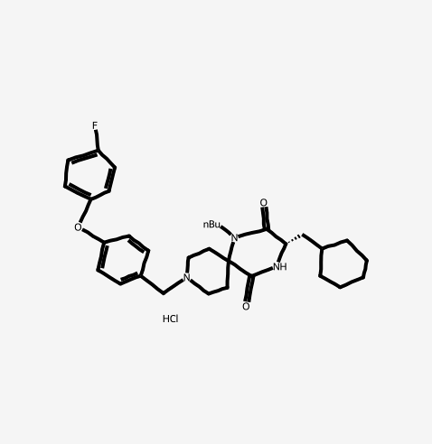 CCCCN1C(=O)[C@H](CC2CCCCC2)NC(=O)C12CCN(Cc1ccc(Oc3ccc(F)cc3)cc1)CC2.Cl